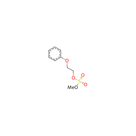 COS(=O)(=O)OCCOc1ccccc1